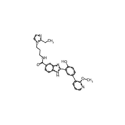 CCc1nccn1CCCNC(=O)c1ccc2[nH]c(-c3cc(-c4cccnc4OC)ccc3O)nc2c1